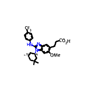 COc1cc2c(cc1CCC(=O)O)nc(Nc1ccc(C(F)(F)F)cc1)n2[C@@H]1C[C@@H](C)CC(C)(C)C1